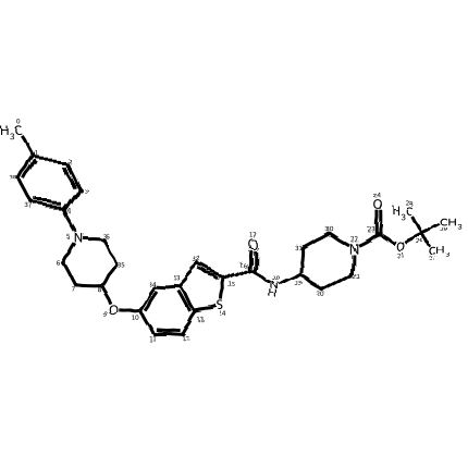 Cc1ccc(N2CCC(Oc3ccc4sc(C(=O)NC5CCN(C(=O)OC(C)(C)C)CC5)cc4c3)CC2)cc1